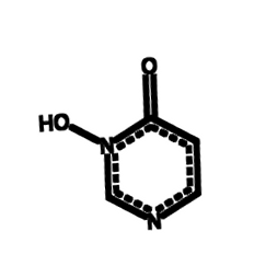 O=c1ccncn1O